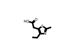 CCc1nc(C)sc1CC(=O)O